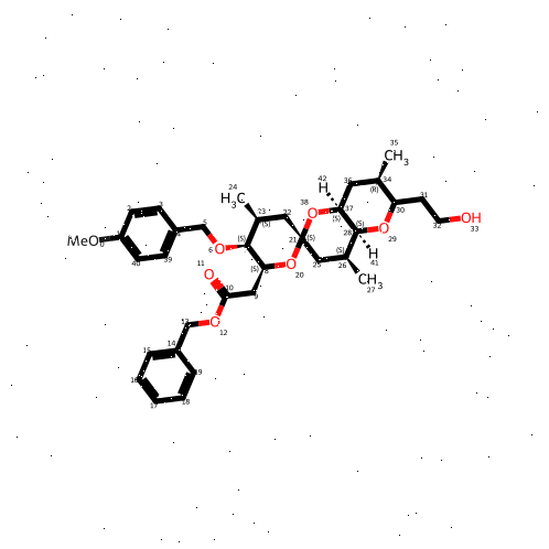 COc1ccc(CO[C@@H]2[C@H](CC(=O)OCc3ccccc3)O[C@@]3(C[C@@H]2C)C[C@H](C)[C@@H]2OC(CCO)[C@H](C)C[C@@H]2O3)cc1